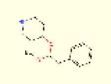 CCOC(Cc1ccccc1)OC1CCNCC1